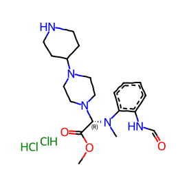 COC(=O)[C@H](N1CCN(C2CCNCC2)CC1)N(C)c1ccccc1NC=O.Cl.Cl